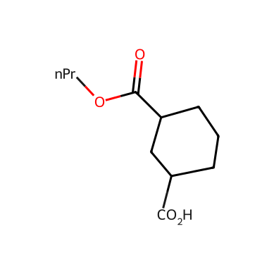 CCCOC(=O)C1CCCC(C(=O)O)C1